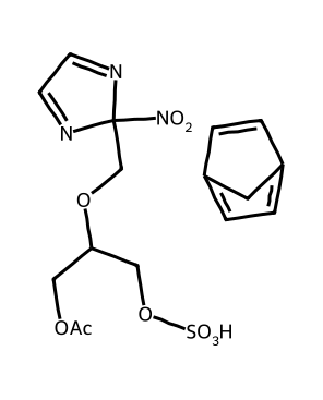 C1=CC2=CC=C1C2.CC(=O)OCC(COS(=O)(=O)O)OCC1([N+](=O)[O-])N=CC=N1